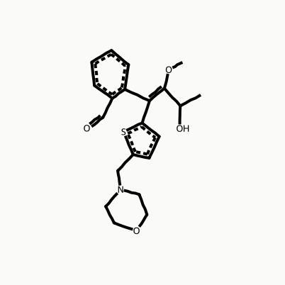 CO/C(=C(/c1ccc(CN2CCOCC2)s1)c1ccccc1C=O)C(C)O